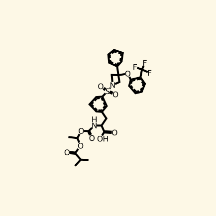 CC(OC(=O)NC(Cc1cccc(S(=O)(=O)N2CC(Oc3ccccc3C(F)(F)F)(c3ccccc3)C2)c1)C(=O)O)OC(=O)C(C)C